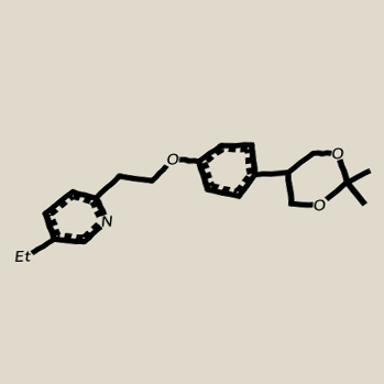 CCc1ccc(CCOc2ccc(C3COC(C)(C)OC3)cc2)nc1